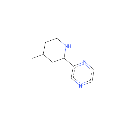 CC1CCNC(c2cnccn2)C1